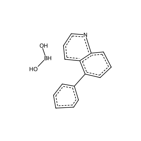 OBO.c1ccc(-c2cccc3ncccc23)cc1